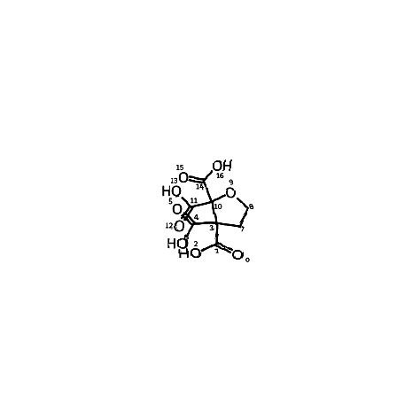 O=C(O)C1(C(=O)O)CCOC1(C(=O)O)C(=O)O